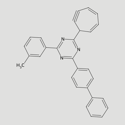 Cc1cccc(-c2nc(-c3ccc(-c4ccccc4)cc3)nc(C3C#CC=CC=C3)n2)c1